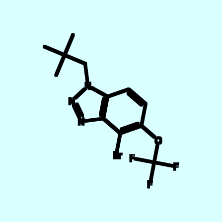 CC(C)(C)Cn1nnc2c(Br)c(OC(F)(F)F)ccc21